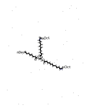 CCCCCCCC/C=C\CCCCCCCCCC(=O)OC[C@H](COC(=O)CCCCCCCCCCCCCCCCC)OC(=O)CCCCCCCCC/C=C\CCCCCCCC